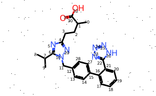 CC(CCc1nc(C(C)C)n(Cc2ccc(-c3ccccc3-c3nnn[nH]3)cc2)n1)C(=O)O